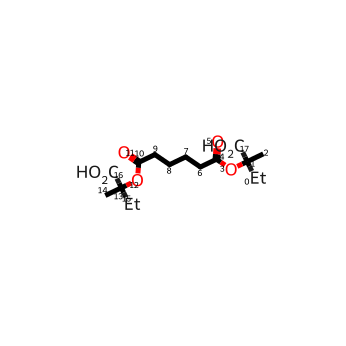 CCC(C)(OC(=O)CCCCC(=O)OC(C)(CC)C(=O)O)C(=O)O